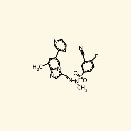 Cc1cc(-c2cccnc2)cn2c(C=NN(C)S(=O)(=O)c3ccc(F)c(C#N)c3)cnc12